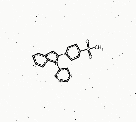 CS(=O)(=O)c1ccc(-c2cc3ccccc3n2-c2cncnc2)cc1